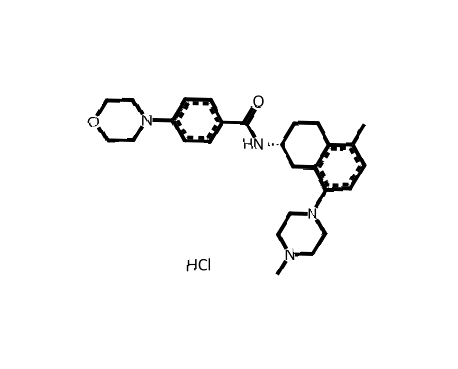 Cc1ccc(N2CCN(C)CC2)c2c1CC[C@@H](NC(=O)c1ccc(N3CCOCC3)cc1)C2.Cl